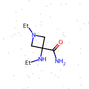 CCNC1(C(N)=O)CN(CC)C1